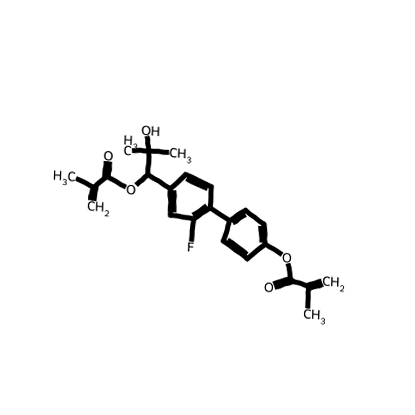 C=C(C)C(=O)Oc1ccc(-c2ccc(C(OC(=O)C(=C)C)C(C)(C)O)cc2F)cc1